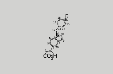 C/C(=C\C(=O)O)c1ccc2c(ccn2Cc2ccc(F)cc2)c1